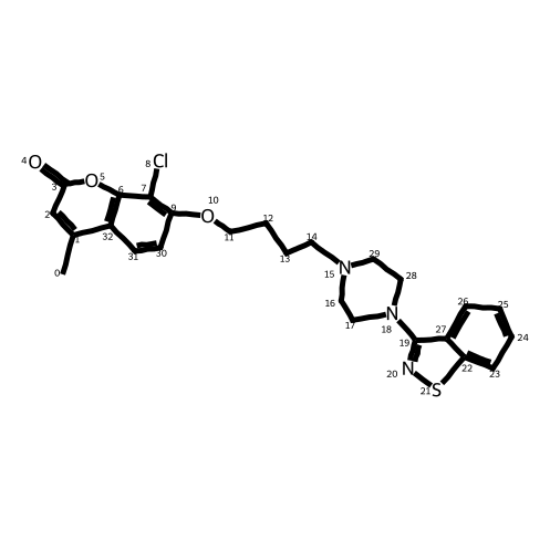 Cc1cc(=O)oc2c(Cl)c(OCCCCN3CCN(c4nsc5ccccc45)CC3)ccc12